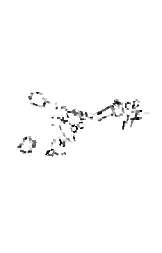 O=C(NC(CCCc1ccccc1)C(=O)N1CCCC1C(=O)N1CCOC(c2ccccc2)C1)c1cc2cc(C(F)(F)P(=O)(O)O)ccc2s1